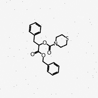 O=C(OCc1ccccc1)C(Cc1ccccc1)OC(=O)N1CCSCC1